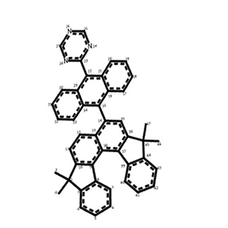 CC1(C)c2ccccc2-c2c1ccc1c(-c3c4ccccc4c(-c4ncncn4)c4ccccc34)cc3c(c21)-c1ccccc1C3(C)C